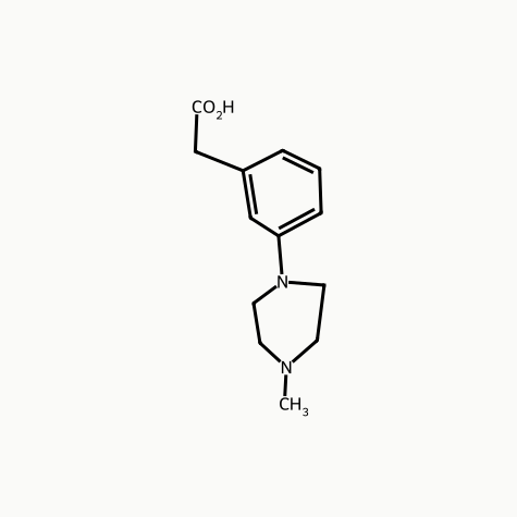 CN1CCN(c2cccc(CC(=O)O)c2)CC1